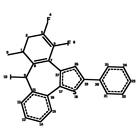 CC1CC(F)=C(F)C2=C1C(I)c1ccccc1-c1sc(-c3ccccc3)cc12